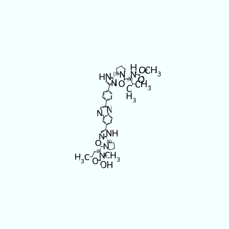 CCC[C@@H](C(=O)N1CCC[C@H]1c1ncc(-c2ccc3nc(-c4ccc(-c5c[nH]c([C@@H]6CCCN6C(=O)[C@@H](NC(=O)OC)C(C)C)n5)cc4)cnc3c2)[nH]1)N(C)C(=O)O